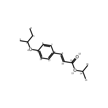 CCC(C)Oc1ccc(/C=C/C(=O)OC(C)C)cc1